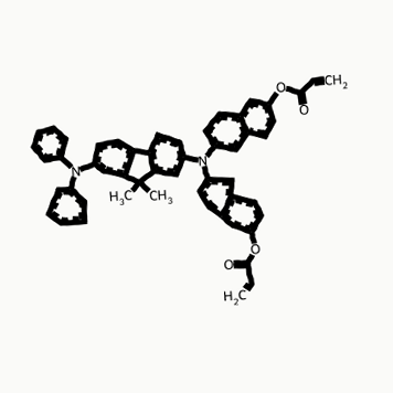 C=CC(=O)Oc1ccc2cc(N(c3ccc4c(c3)C(C)(C)c3cc(N(c5ccccc5)c5ccccc5)ccc3-4)c3ccc4cc(OC(=O)C=C)ccc4c3)ccc2c1